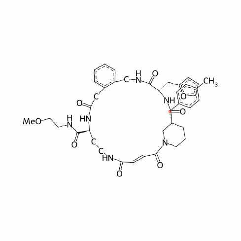 COCCNC(=O)[C@@H]1CCNC(=O)/C=C/C(=O)N2CCC[C@@](Cc3ccc(C)cc3)(C2)C(=O)N[C@@H](Cc2ccco2)C(=O)NCc2ccccc2CC(=O)N1